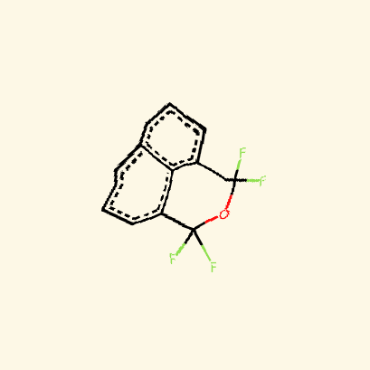 FC1(F)OC(F)(F)c2cccc3cccc1c23